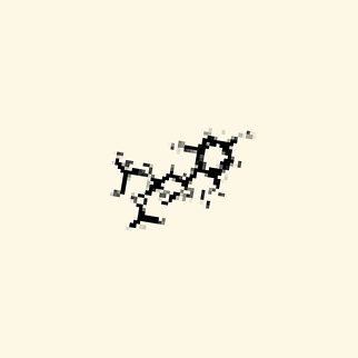 CC(C)OC(CCc1c(F)cc(F)cc1F)(O[SiH3])OC(C)C